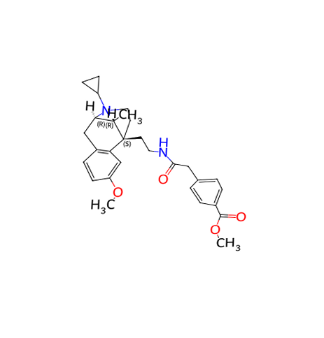 COC(=O)c1ccc(CC(=O)NCC[C@@]23CCN(C4CC4)[C@H](Cc4ccc(OC)cc42)[C@@H]3C)cc1